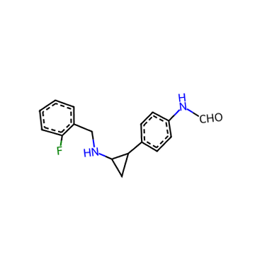 O=CNc1ccc(C2CC2NCc2ccccc2F)cc1